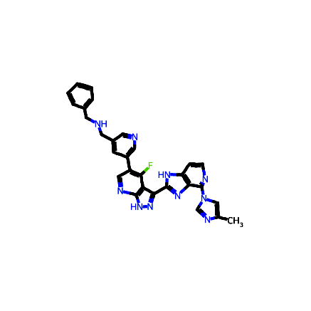 Cc1cn(-c2nccc3[nH]c(-c4n[nH]c5ncc(-c6cncc(CNCc7ccccc7)c6)c(F)c45)nc23)cn1